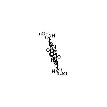 CCCCCCCCNC(=O)CCc1cc2c(nc3c4ccc5c(=O)n6c7cc(CCC(=O)NCCCCCCCC)sc7nc6c6sc(c(=O)n23)c4c56)s1